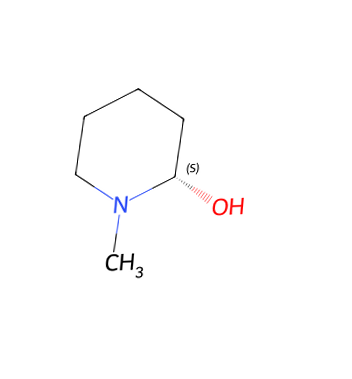 CN1CCCC[C@@H]1O